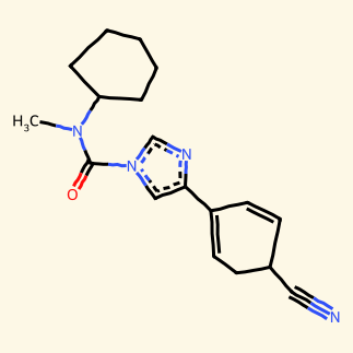 CN(C(=O)n1cnc(C2=CCC(C#N)C=C2)c1)C1CCCCC1